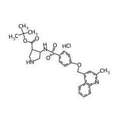 Cc1cc(COc2ccc(S(=O)(=O)NC3CNCC3C(=O)OC(C)(C)C)cc2)c2ccccc2n1.Cl